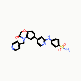 NS(=O)(=O)c1ccc(Nc2cc(-c3ccc4c(c3)N(Cc3ccncc3)C(=O)CO4)ccn2)cc1